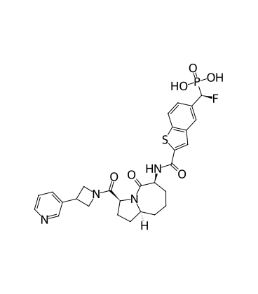 O=C(N[C@H]1CCC[C@H]2CC[C@@H](C(=O)N3CC(c4cccnc4)C3)N2C1=O)c1cc2cc([C@H](F)P(=O)(O)O)ccc2s1